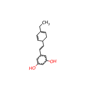 CCC1=CCC(/C=C/c2cc(O)cc(O)c2)C=C1